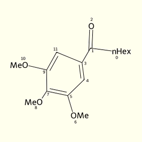 [CH2]CCCCCC(=O)c1cc(OC)c(OC)c(OC)c1